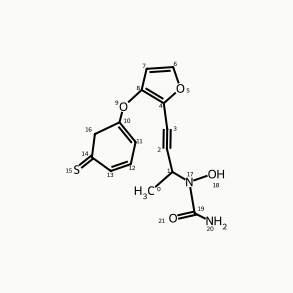 CC(C#Cc1occc1OC1=CC=CC(=S)C1)N(O)C(N)=O